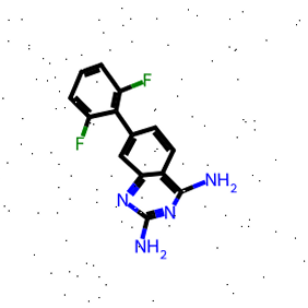 Nc1nc(N)c2ccc(-c3c(F)cccc3F)cc2n1